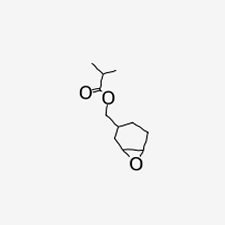 CC(C)C(=O)OCC1CCC2OC2C1